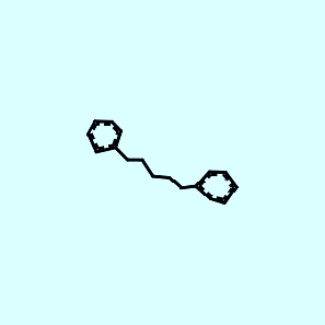 c1ccc(CCCCCc2ccccc2)cc1